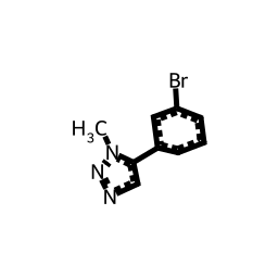 Cn1nncc1-c1cccc(Br)c1